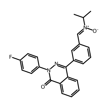 CC(C)/[N+]([O-])=C/c1cccc(-c2nn(-c3ccc(F)cc3)c(=O)c3ccccc23)c1